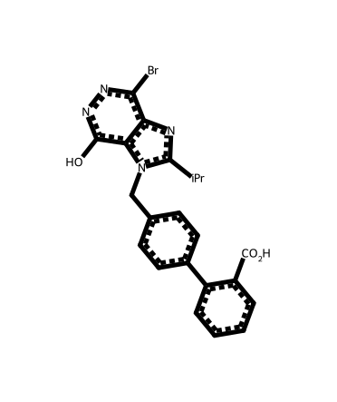 CC(C)c1nc2c(Br)nnc(O)c2n1Cc1ccc(-c2ccccc2C(=O)O)cc1